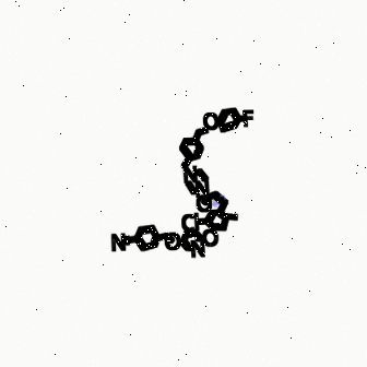 Cc1cc(Oc2ccc(OCc3ccc(C#N)cc3)cn2)c(Cl)cc1/C=C\C(=O)N1CCN(Cc2ccc(CCOc3ccc(F)cc3)cc2)CC1